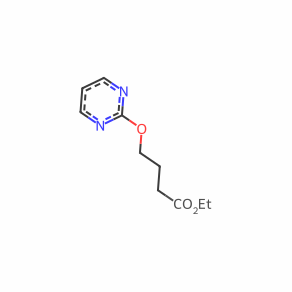 CCOC(=O)CCCOc1ncccn1